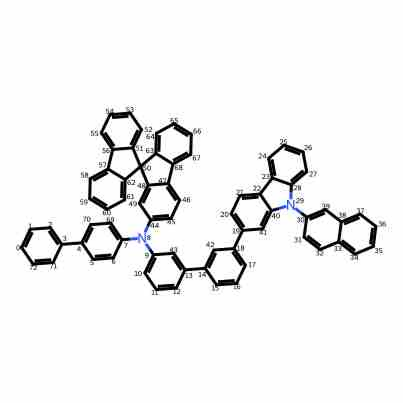 c1ccc(-c2ccc(N(c3cccc(-c4cccc(-c5ccc6c7ccccc7n(-c7ccc8ccccc8c7)c6c5)c4)c3)c3ccc4c(c3)C3(c5ccccc5-c5ccccc53)c3ccccc3-4)cc2)cc1